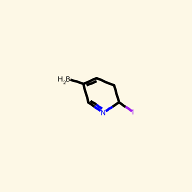 BC1=CCC(I)N=C1